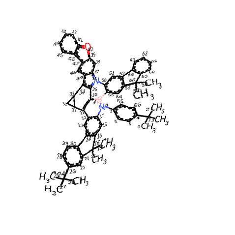 CC(C)(C)c1ccc(N2B3C4=C(c5cc6c(cc52)C(C)(C)c2cc(C(C)(C)C)ccc2-6)C2CC2c2c4n(c4cc5oc6ccccc6c5cc24)-c2cc4c(cc23)C(C)(C)c2ccccc2-4)cc1